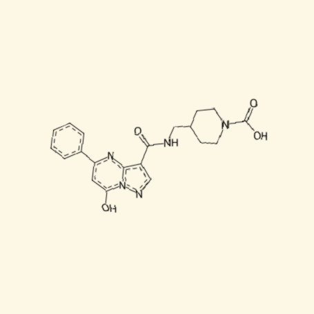 O=C(NCC1CCN(C(=O)O)CC1)c1cnn2c(O)cc(-c3ccccc3)nc12